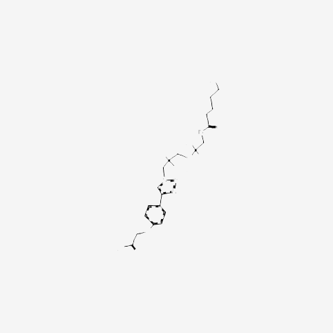 CCCCCC(=O)NCC(C)(C)OCC(C)(C)Cn1cc(-c2ccc(OCC(C)=O)cc2)nn1